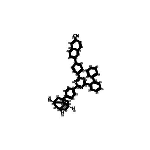 N#Cc1ccc2cc(-c3ccc(-c4nc(-c5ccc(C67C[C@H]8C[C@@H](C6)C[C@@H](C7)C8)cc5)nc(-c5ccccc5-c5ccccc5)n4)cc3)ccc2c1